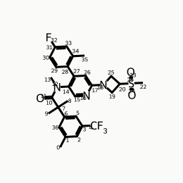 Cc1cc(C(F)(F)F)cc(C(C)(C)C(=O)N(C)c2cnc(N3CC(S(C)(=O)=O)C3)cc2-c2ccc(F)cc2C)c1